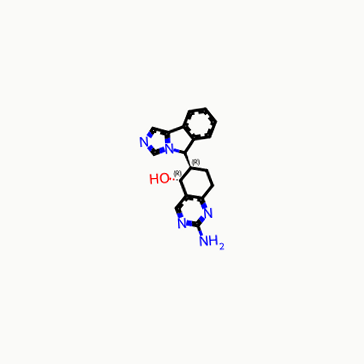 Nc1ncc2c(n1)CC[C@H](C1c3ccccc3-c3cncn31)[C@H]2O